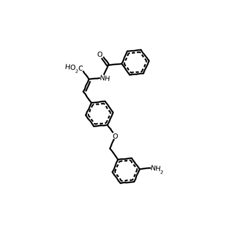 Nc1cccc(COc2ccc(C=C(NC(=O)c3ccccc3)C(=O)O)cc2)c1